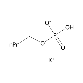 CCCCOP(=O)([O-])O.[K+]